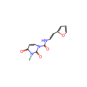 O=C(N/C=C/c1ccco1)n1ccc(=O)n(F)c1=O